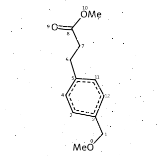 COCc1ccc(CCC(=O)OC)cc1